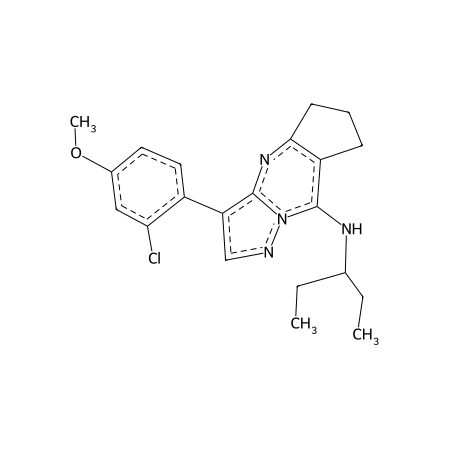 CCC(CC)Nc1c2c(nc3c(-c4ccc(OC)cc4Cl)cnn13)CCC2